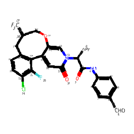 CCCC(C(=O)Nc1ccc(C=O)cc1)n1cc2c(cc1=O)-c1c(ccc(Cl)c1F)CC(C(F)(F)F)CO2